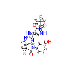 O=C1N([C@@H]2CCC[C@@H](O)C2)c2nc(Nc3c[nH]nc3OCC3(F)COC3)ncc2C12CC2